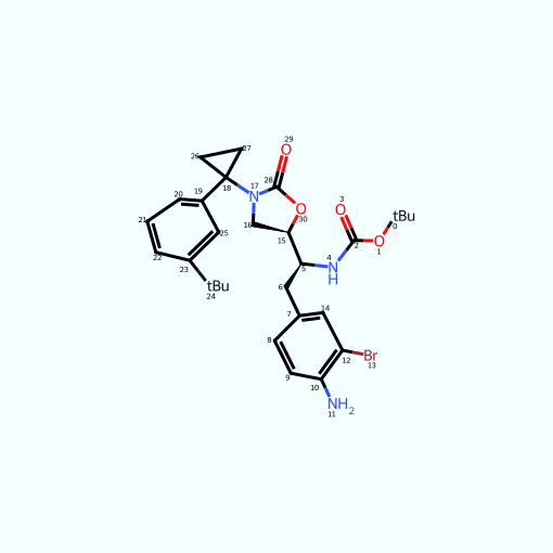 CC(C)(C)OC(=O)N[C@@H](Cc1ccc(N)c(Br)c1)[C@H]1CN(C2(c3cccc(C(C)(C)C)c3)CC2)C(=O)O1